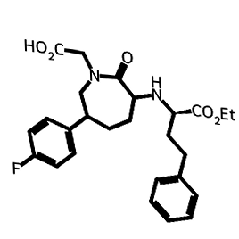 CCOC(=O)[C@@H](CCc1ccccc1)NC1CCC(c2ccc(F)cc2)CN(CC(=O)O)C1=O